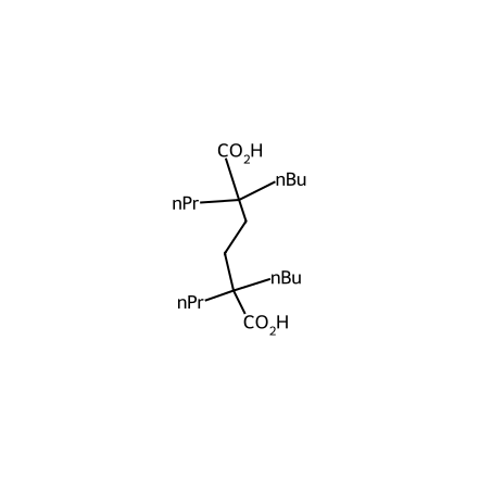 CCCCC(CCC)(CCC(CCC)(CCCC)C(=O)O)C(=O)O